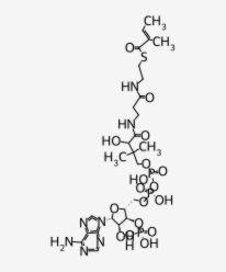 C/C=C(\C)C(=O)SCCNC(=O)CCNC(=O)C(O)C(C)(C)COP(=O)(O)OP(=O)(O)OC[C@H]1O[C@@H](n2cnc3c(N)ncnc32)[C@H](O)[C@@H]1OP(=O)(O)O